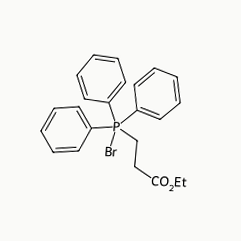 CCOC(=O)CCP(Br)(c1ccccc1)(c1ccccc1)c1ccccc1